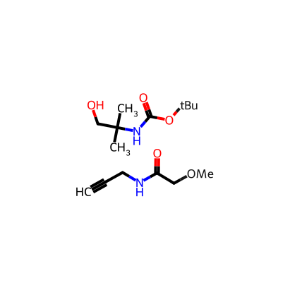 C#CCNC(=O)COC.CC(C)(CO)NC(=O)OC(C)(C)C